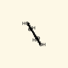 O=C(/C=C/CCCCCCCCC(=O)NCCCCO)NCCCCO